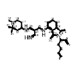 C=CCCC(C=C)n1c(=C)c2cccc(NC/C(C=N)=C/NC3CCN(C)C(C)(C)C3)c2c1=C